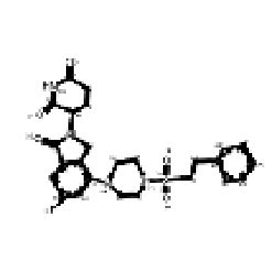 O=C1CCC(N2Cc3c(cc(F)cc3N3CCN(S(=O)(=O)CCc4ccccc4)CC3)C2=O)C(=O)N1